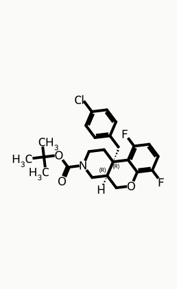 CC(C)(C)OC(=O)N1CC[C@@]2(Cc3ccc(Cl)cc3)c3c(F)ccc(F)c3OC[C@H]2C1